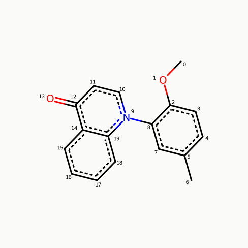 COc1ccc(C)cc1-n1ccc(=O)c2ccccc21